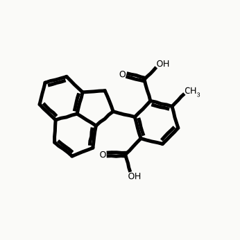 Cc1ccc(C(=O)O)c(C2Cc3cccc4cccc2c34)c1C(=O)O